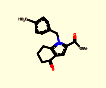 COC(=O)c1cc2c(n1Cc1ccc(C(=O)O)cc1)CCCC2=O